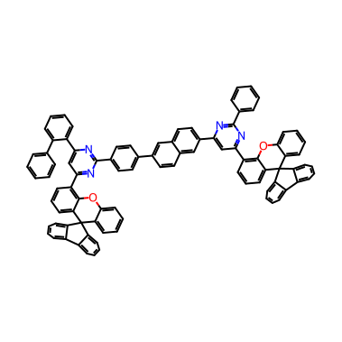 c1ccc(-c2nc(-c3ccc4cc(-c5ccc(-c6nc(-c7ccccc7-c7ccccc7)cc(-c7cccc8c7Oc7ccccc7C87c8ccccc8-c8ccccc87)n6)cc5)ccc4c3)cc(-c3cccc4c3Oc3ccccc3C43c4ccccc4-c4ccccc43)n2)cc1